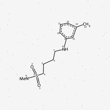 CNS(=O)(=O)CCCCNc1cccc(C)c1